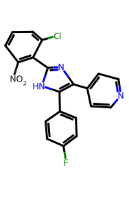 O=[N+]([O-])c1cccc(Cl)c1-c1nc(-c2ccncc2)c(-c2ccc(F)cc2)[nH]1